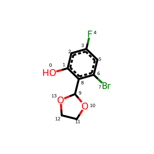 Oc1cc(F)cc(Br)c1C1OCCO1